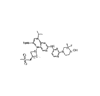 CC(C)c1cc(C#N)c(N2C[C@H](CS(C)(=O)=O)[C@H]2C)c2cnc(Nc3ccnc(N4CC[C@@H](O)[C@@](C)(F)C4)n3)cc12